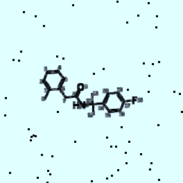 Cc1ccccc1CC(=O)NC(C)(C)c1ccc(F)cc1